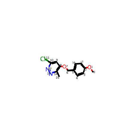 COc1ccc(COc2cc(Cl)nnc2C)cc1